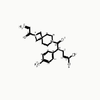 C=CC(=O)N1CC2(CCN(C(=O)[C@@H](CC=C(Cl)Cl)c3ccc(C(F)(F)F)cc3)CC2)C1